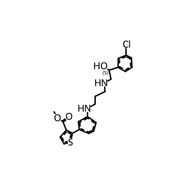 COC(=O)c1ccsc1-c1cccc(NCCCNC[C@@H](O)c2cccc(Cl)c2)c1